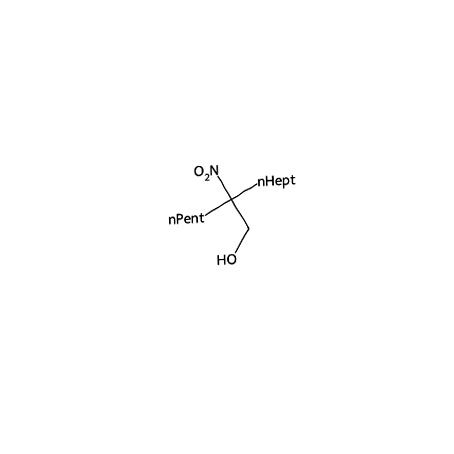 CCCCCCCC(CO)(CCCCC)[N+](=O)[O-]